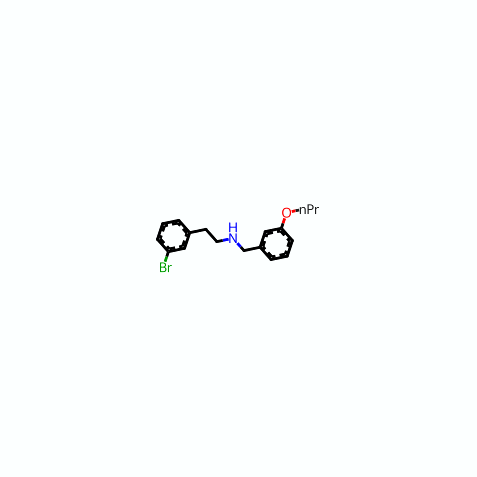 CCCOc1cccc(CNCCc2cccc(Br)c2)c1